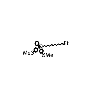 CCC=CCCCCC=CCCCCCOC(c1ccccc1)(c1ccc(OC)cc1)c1ccc(OC)cc1